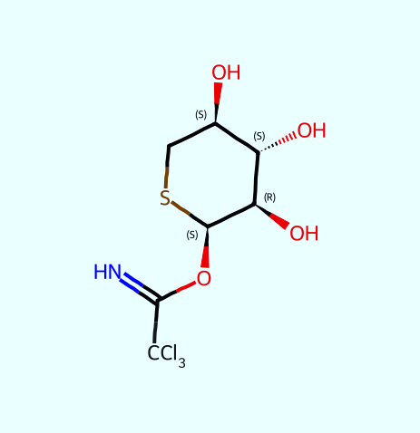 N=C(O[C@H]1SC[C@@H](O)[C@H](O)[C@H]1O)C(Cl)(Cl)Cl